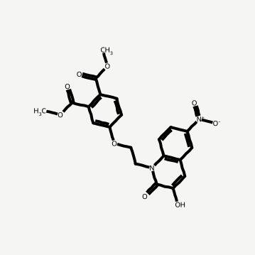 COC(=O)c1ccc(OCCn2c(=O)c(O)cc3cc([N+](=O)[O-])ccc32)cc1C(=O)OC